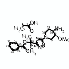 CCC(=O)O.CO[C@H]1CN(c2nnc(C(C)(C)OC(=O)c3ccccc3)s2)CC[C@H]1N